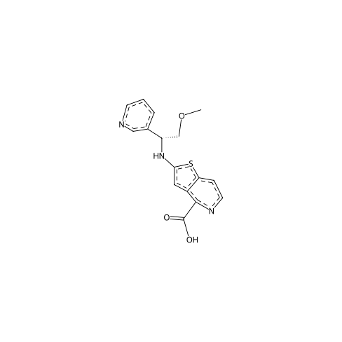 COC[C@H](Nc1cc2c(C(=O)O)nccc2s1)c1cccnc1